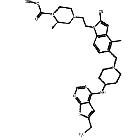 Cc1c(CN2CCC(Nc3ncnc4sc(CC(F)(F)F)cc34)CC2)ccc2c1cc(C#N)n2CCN1CCN(C(=O)OC(C)(C)C)[C@H](C)C1